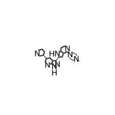 CN1CCN(c2nccc3[nH]c(-c4n[nH]c5ncc(-c6cccnc6)cc45)cc23)CC1